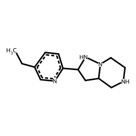 CCc1ccc(C2CC3CNCCN3N2)nc1